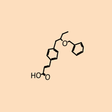 CCC(Cc1ccc(/C=C/C(=O)O)cc1)OCc1ccccc1